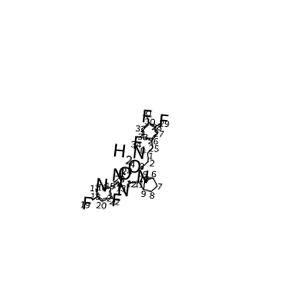 N[C@@H](CC(=O)N1C2CCC(C2)[C@H]1c1nc(-c2ncc(F)cc2F)no1)Cc1cc(F)c(F)cc1F